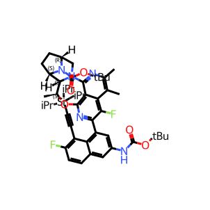 Cc1nc2c3c(nc(-c4cc(NC(=O)OC(C)(C)C)cc5ccc(F)c(C#C[Si](C(C)C)(C(C)C)C(C)C)c45)c(F)c3c1C)O[C@@H](C)[C@@H]1[C@@H]3CC[C@H](CN21)N3C(=O)OC(C)(C)C